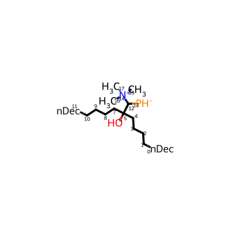 CCCCCCCCCCCCCCC(O)(CCCCCCCCCCCCCC)C([PH-])[N+](C)(C)C